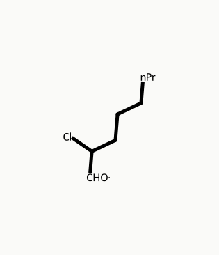 CCCCCCC(Cl)[C]=O